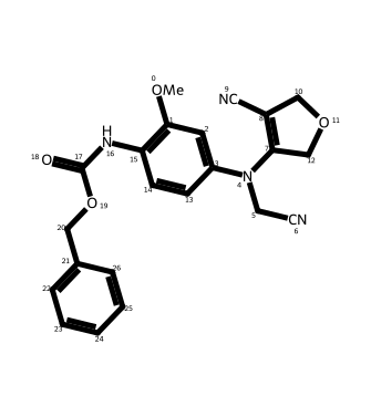 COc1cc(N(CC#N)C2=C(C#N)COC2)ccc1NC(=O)OCc1ccccc1